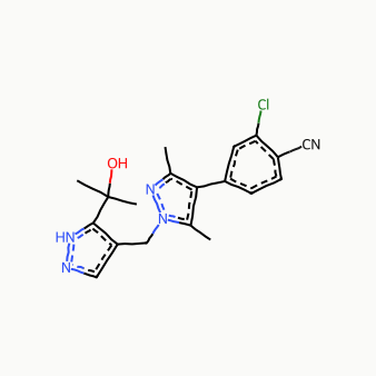 Cc1nn(Cc2cn[nH]c2C(C)(C)O)c(C)c1-c1ccc(C#N)c(Cl)c1